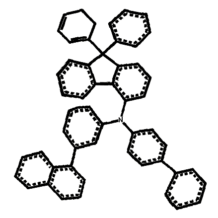 C1=CCCC(C2(c3ccccc3)c3ccccc3-c3c(N(c4ccc(-c5ccccc5)cc4)c4cccc(-c5cccc6ccccc56)c4)cccc32)=C1